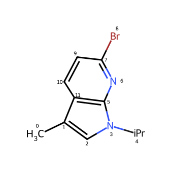 Cc1cn(C(C)C)c2nc(Br)ccc12